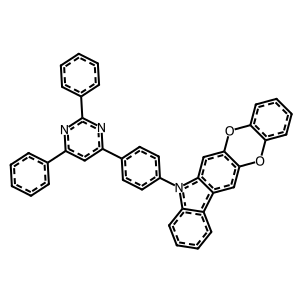 c1ccc(-c2cc(-c3ccc(-n4c5ccccc5c5cc6c(cc54)Oc4ccccc4O6)cc3)nc(-c3ccccc3)n2)cc1